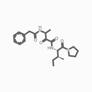 CC[C@H](C)[C@H](NC(=O)C(=O)C(C)NC(=O)Cc1ccccc1)C(=O)N1CCCC1